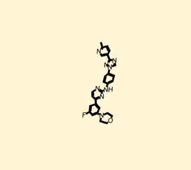 Cc1ccc(-c2ncn(-c3ccc(Nc4nccc(-c5cc(F)cc(N6CCOCC6)c5)n4)cc3)n2)cn1